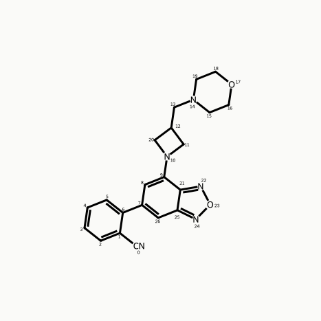 N#Cc1ccccc1-c1cc(N2CC(CN3CCOCC3)C2)c2nonc2c1